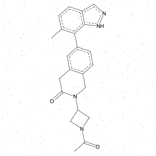 CC(=O)N1CC(N2Cc3ccc(-c4c(C)ccc5cn[nH]c45)cc3CC2=O)C1